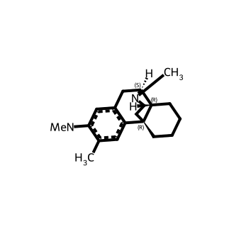 CNc1cc2c(cc1C)[C@@]13CCCC[C@H]1[C@H](C2)N(C)CC3